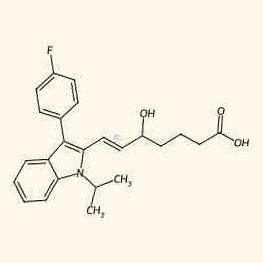 CC(C)n1c(/C=C/C(O)CCCC(=O)O)c(-c2ccc(F)cc2)c2ccccc21